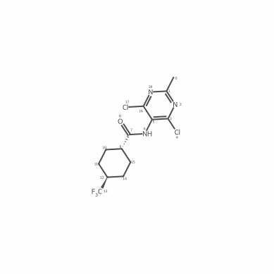 Cc1nc(Cl)c(NC(=O)[C@H]2CC[C@H](C(F)(F)F)CC2)c(Cl)n1